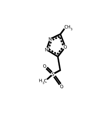 Cc1nnc(CS(C)(=O)=O)o1